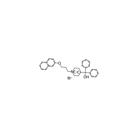 OC(c1ccccc1)(c1ccccc1)C12CC[N+](CCCOc3ccc4ccccc4c3)(CC1)CC2.[Br-]